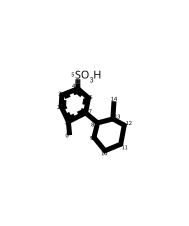 Cc1ccc(S(=O)(=O)O)cc1C1CCCCC1C